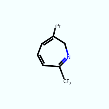 CC(C)C1=CC=CC(C(F)(F)F)=NC1